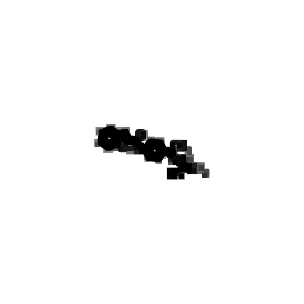 C/C(=N\NC(=N)N)c1ccc(NC(=O)c2cc3ccccc3o2)cc1